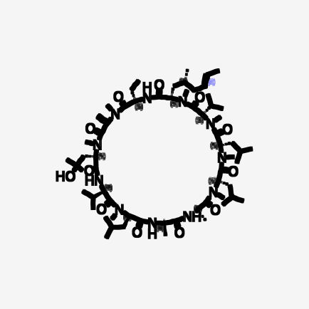 C=C1C(=O)N(C)[C@@H](CC(C)(C)O)C(=O)N[C@H](C(C)C)C(=O)N(C)[C@H](CC(C)C)C(=O)N[C@H](C)C(=O)N[C@@H](C)C(=O)N(C)[C@@H](CC(C)C)C(=O)N(C)[C@@H](CC(C)C)C(=O)N(C)[C@@H](C(C)C)C(=O)N(C)[C@@H](C[C@H](C)C/C=C/C)C(=O)N[C@@H](CC)C(=O)N1C